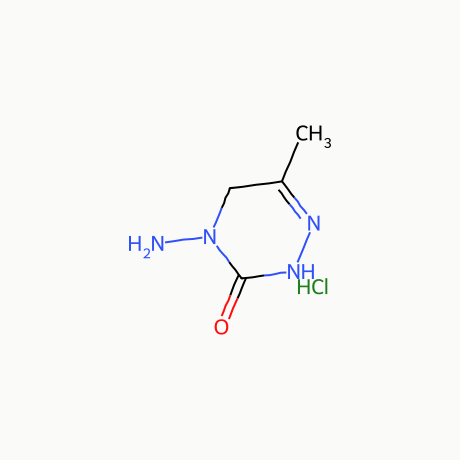 CC1=NNC(=O)N(N)C1.Cl